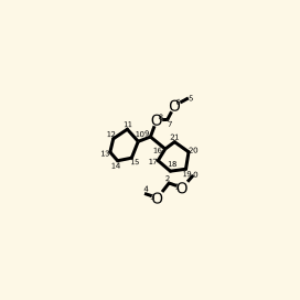 COCOC.COCOC(C1CCCCC1)C1CCCCC1